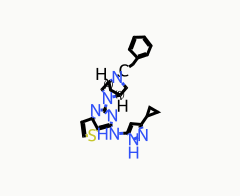 c1ccc(CCN2C[C@@H]3C[C@H]2CN3c2nc(Nc3cc(C4CC4)n[nH]3)c3sccc3n2)cc1